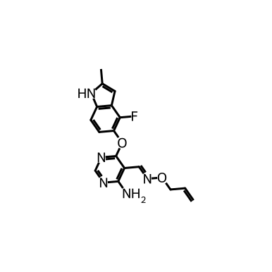 C=CCON=Cc1c(N)ncnc1Oc1ccc2[nH]c(C)cc2c1F